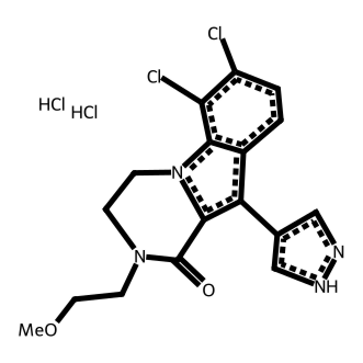 COCCN1CCn2c(c(-c3cn[nH]c3)c3ccc(Cl)c(Cl)c32)C1=O.Cl.Cl